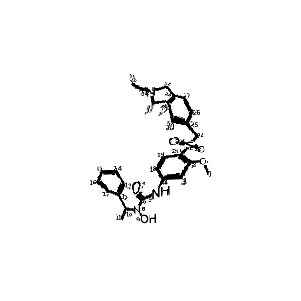 COc1cc(NC(=O)N(O)C(C)c2ccccc2)ccc1S(=O)(=O)Cc1ccc2c(c1)CN(C)C2